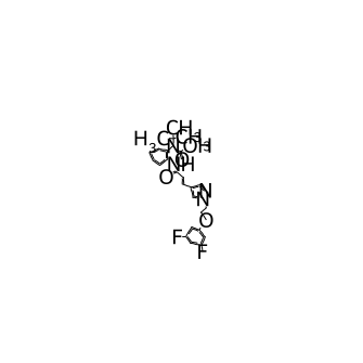 CC(C)(C)N(C(=O)O)c1ccccc1NC(=O)C=Cc1cnn(CCOc2cc(F)cc(F)c2)c1